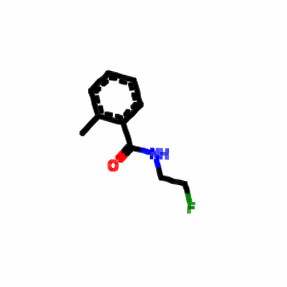 Cc1ccccc1C(=O)NCCF